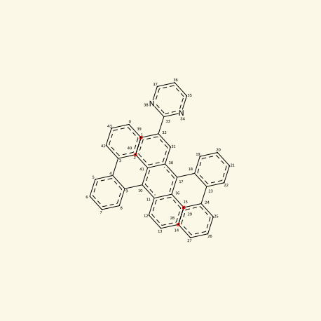 c1ccc(-c2ccccc2-c2c3ccccc3c(-c3ccccc3-c3ccccc3)c3cc(-c4ncccn4)ccc23)cc1